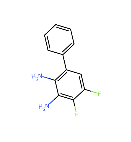 Nc1c(-c2ccccc2)cc(F)c(F)c1N